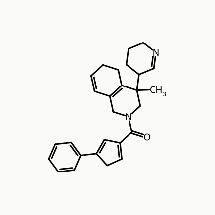 CC1(C2C=NCCC2)CN(C(=O)C2=CCC(c3ccccc3)=C2)CC2=C1CCC=C2